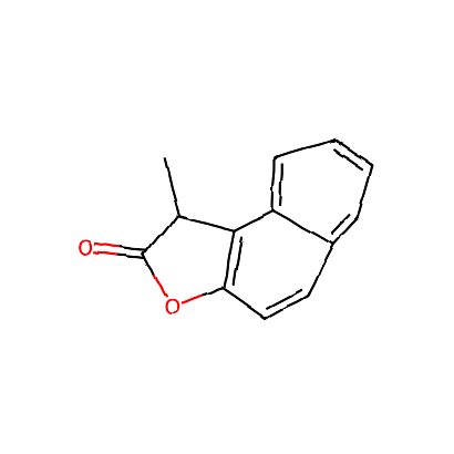 CC1C(=O)Oc2ccc3ccccc3c21